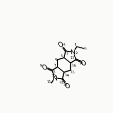 CCN1C(=O)C2CC3C(=O)N(C)C(=O)C3CC2C1=O